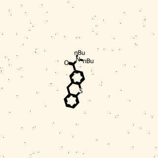 CCCCN(CCCC)C(=O)c1ccc2c(c1)Cc1ccccc1S2